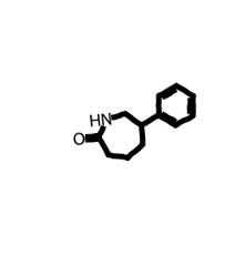 O=C1CCCC(c2ccccc2)CN1